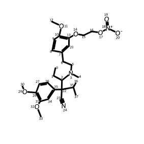 CCC(N(C)CCc1ccc(OC)c(OCCO[N+](=O)[O-])c1)C(C#N)(c1ccc(OC)c(OC)c1)C(C)C